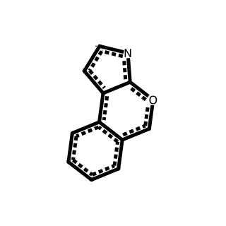 [c]1cc2c3ccccc3coc-2n1